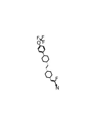 N#C/C(F)=C/[C@H]1CC[C@H](CC[C@H]2CC[C@H](c3ccc(OC(F)(F)F)cc3)CC2)CC1